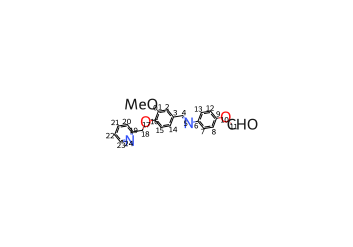 COc1cc(/C=N/c2ccc(OC=O)cc2)ccc1OCc1ccccn1